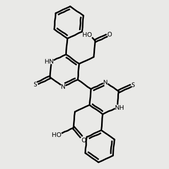 O=C(O)Cc1c(-c2nc(=S)[nH]c(-c3ccccc3)c2CC(=O)O)nc(=S)[nH]c1-c1ccccc1